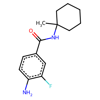 CC1(NC(=O)c2ccc(N)c(F)c2)CCCCC1